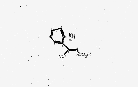 N#CC(=CC(=O)O)c1ccccc1.[KH]